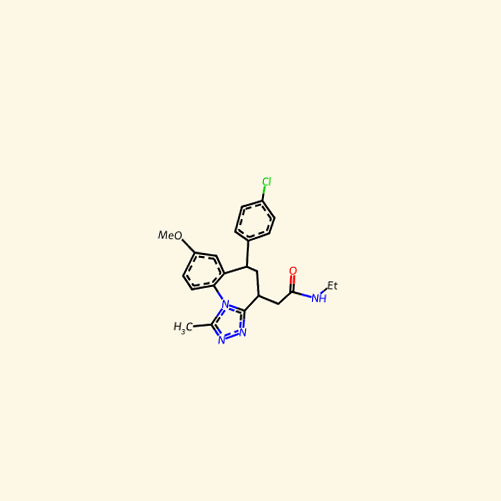 CCNC(=O)CC1CC(c2ccc(Cl)cc2)c2cc(OC)ccc2-n2c(C)nnc21